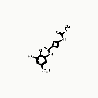 C[C@H](Nc1cc(C(=O)O)cc(C(F)(F)F)c1Cl)C1CC(NC(=O)OC(C)(C)C)C1